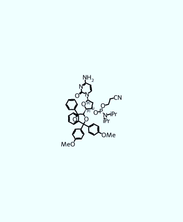 COc1ccc(C(OC(C(=O)c2ccccc2)[C@H]2O[C@@H](n3ccc(N)nc3=O)C[C@@H]2OP(OCCC#N)N(C(C)C)C(C)C)(c2ccccc2)c2ccc(OC)cc2)cc1